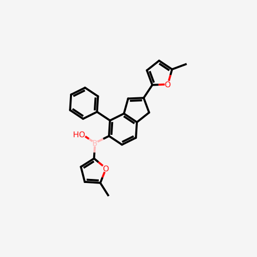 Cc1ccc(B(O)c2ccc3c(c2-c2ccccc2)C=C(c2ccc(C)o2)C3)o1